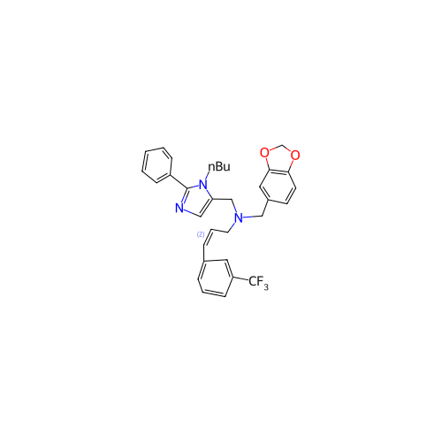 CCCCn1c(CN(C/C=C\c2cccc(C(F)(F)F)c2)Cc2ccc3c(c2)OCO3)cnc1-c1ccccc1